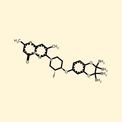 BC1(B)Oc2ccc(O[C@@H]3CCN(c4nn5c(=O)cc(C)nc5cc4C)C[C@H]3F)cc2OC1(B)B